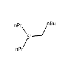 CCCCC[S+](CCC)CCC